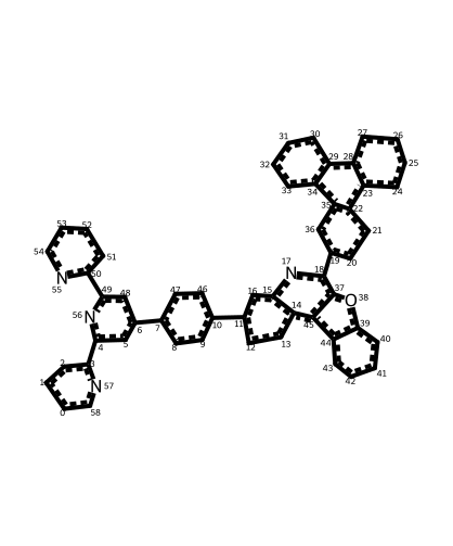 c1ccc(-c2cc(-c3ccc(-c4ccc5c(c4)nc(-c4ccc6c7ccccc7c7ccccc7c6c4)c4oc6ccccc6c45)cc3)cc(-c3ccccn3)n2)nc1